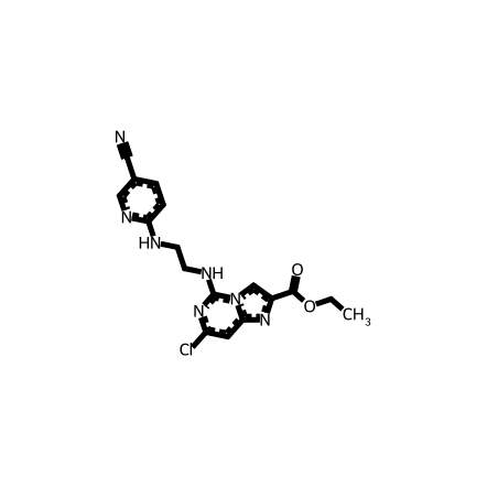 CCOC(=O)c1cn2c(NCCNc3ccc(C#N)cn3)nc(Cl)cc2n1